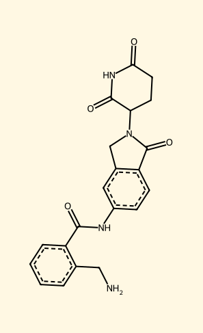 NCc1ccccc1C(=O)Nc1ccc2c(c1)CN(C1CCC(=O)NC1=O)C2=O